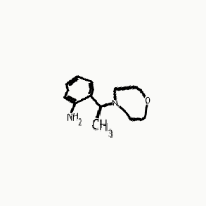 CC(c1ccccc1N)N1CCOCC1